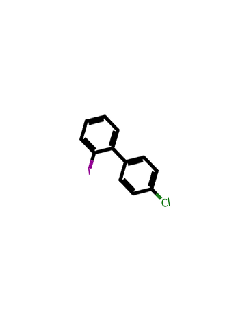 Clc1ccc(-c2ccccc2I)cc1